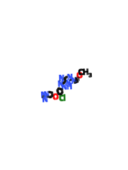 COC[C@@H]1CCN1c1ncc2ncnc(Nc3ccc(Oc4ccn5ncnc5c4)c(Cl)c3)c2n1